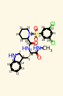 CNC(=O)[C@H](CC1CNc2ccccc21)NC(=O)C1CCCCN1S(=O)(=O)c1cc(Cl)cc(Cl)c1